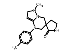 CN1CC=C2N(c3ccc(C(F)(F)F)cc3)CC3(CCNC3=O)CN21